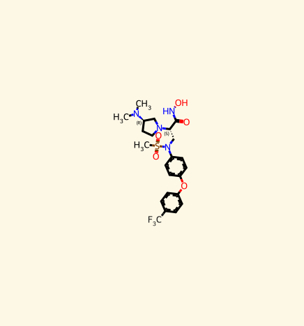 CN(C)[C@@H]1CCN([C@@H](CN(c2ccc(Oc3ccc(C(F)(F)F)cc3)cc2)S(C)(=O)=O)C(=O)NO)C1